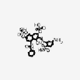 Nc1ccc(S(=O)(=O)O)c(N=Nc2c(OS(=O)(=O)O)cc3cc(OS(=O)(=O)O)cc(NC(=O)c4ccccc4)c3c2O)c1